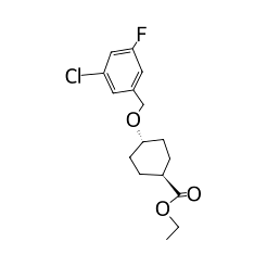 CCOC(=O)[C@H]1CC[C@H](OCc2cc(F)cc(Cl)c2)CC1